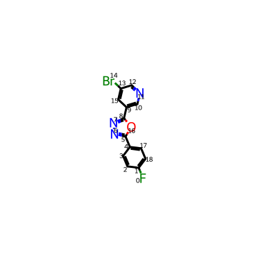 Fc1ccc(-c2nnc(-c3cncc(Br)c3)o2)cc1